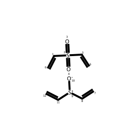 C=CS(=O)(=O)C=C.C=C[S+]([O-])C=C